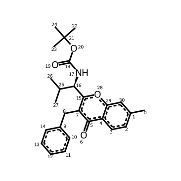 Cc1ccc2c(=O)c(Cc3ccccc3)c([C@H](NC(=O)OC(C)(C)C)C(C)C)oc2c1